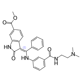 COC(=O)c1ccc2c(c1)NC(=O)/C2=C(\Nc1cccc(C(=O)NCCN(C)C)c1)c1ccccc1